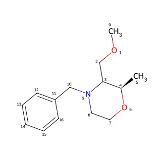 COCC1[C@@H](C)OCCN1Cc1ccccc1